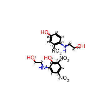 O=[N+]([O-])c1cc(NCCO)c(O)c([N+](=O)[O-])c1.O=[N+]([O-])c1cc(O)ccc1NCCO